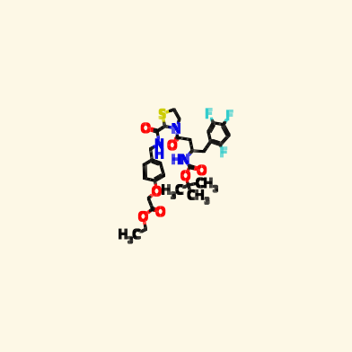 CCOC(=O)COc1ccc(CNC(=O)C2SCCN2C(=O)CC(Cc2cc(F)c(F)cc2F)NC(=O)OC(C)(C)C)cc1